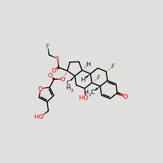 C[C@]12C=CC(=O)C=C1[C@@H](F)C[C@H]1[C@@H]3CC[C@](OC(=O)c4cc(CO)co4)(C(=O)SCF)[C@@]3(C)C[C@H](O)[C@@]12F